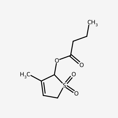 CCCC(=O)OC1C(C)=CCS1(=O)=O